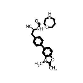 C=C1Oc2ccc(-c3ccc(C[C@@H](C#N)NC(=O)[C@@H]4CNCCCO4)cc3)cc2N1C